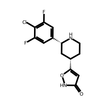 O=c1cc([C@H]2CCN[C@@H](c3cc(F)c(Cl)c(F)c3)C2)o[nH]1